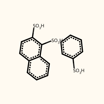 O=S(=O)(O)c1ccc2ccccc2c1S(=O)(=O)O.O=S(=O)(O)c1ccccc1